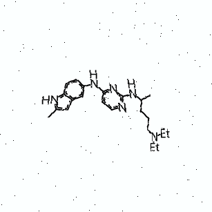 CCN(CC)CCCC(C)Nc1nccc(Nc2ccc3[nH]c(C)cc3c2)n1